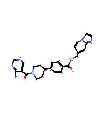 CC(C)c1ncncc1C(=O)N1CCC(c2ccc(C(=O)NCc3ccn4ccnc4c3)cc2)CC1